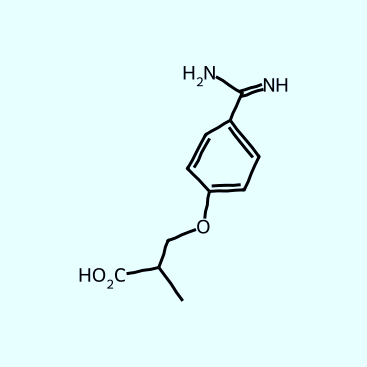 CC(COc1ccc(C(=N)N)cc1)C(=O)O